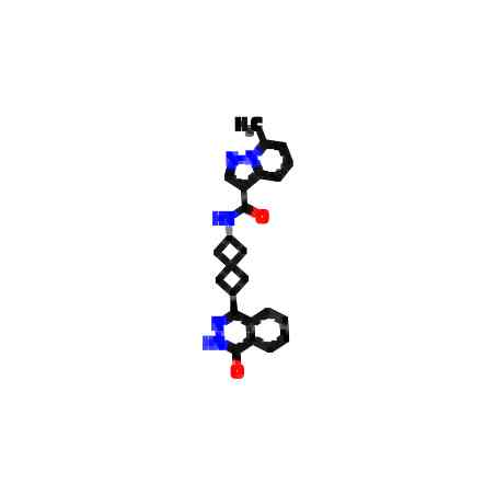 Cc1cccc2c(C(=O)N[C@H]3CC4(C3)C[C@H](c3n[nH]c(=O)c5ccccc53)C4)cnn12